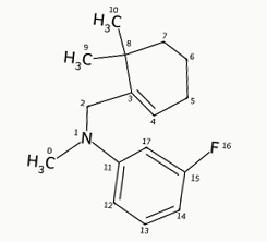 CN(CC1=CCCCC1(C)C)c1cccc(F)c1